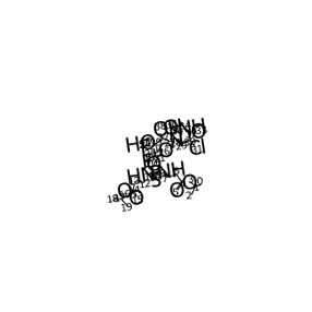 CC(C)OC(=O)CCNP(=S)(NCCC(=O)OC(C)C)OC[C@@]1(C(F)F)O[C@@H](n2cc(Cl)c(=O)[nH]c2=O)[C@H](O)[C@@H]1O